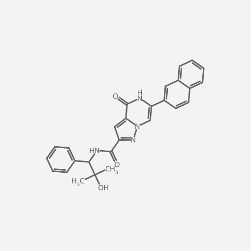 CC(C)(O)C(NC(=O)c1cc2c(=O)[nH]c(-c3ccc4ccccc4c3)cn2n1)c1ccccc1